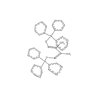 CC(=NO[Si](c1ccccc1)(c1ccccc1)c1ccccc1)C(C)=NO[Si](c1ccccc1)(c1ccccc1)c1ccccc1